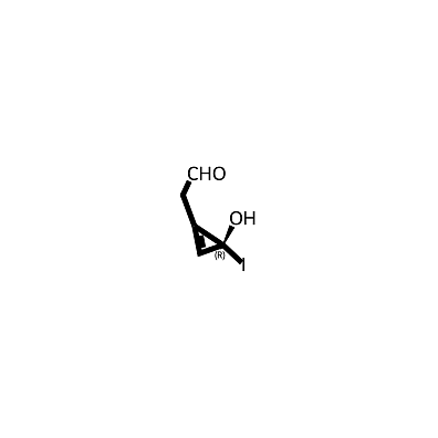 O=CCC1=C[C@@]1(O)I